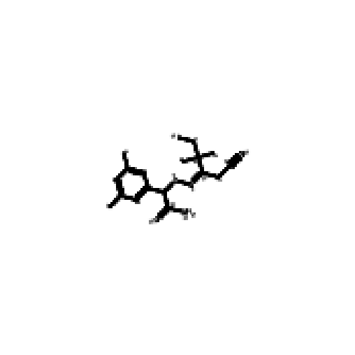 Cc1cc(C)cc(C(ON=C(CC#N)C(C)(C)CI)C(N)=O)c1